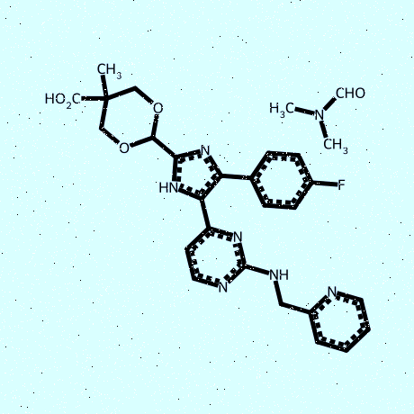 CC1(C(=O)O)COC(c2nc(-c3ccc(F)cc3)c(-c3ccnc(NCc4ccccn4)n3)[nH]2)OC1.CN(C)C=O